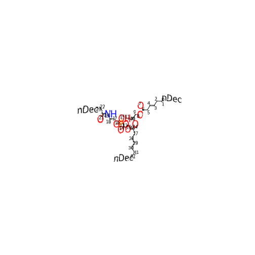 CCCCCCCCCCCCCCCC(=O)OC[C@H](COP(=O)(O)OCCNC(=O)CCCCCCCCCCC)OC(=O)CCCCCCCCCCCCCCC